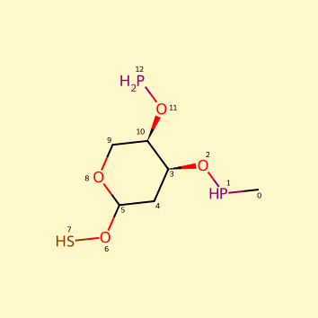 CPO[C@H]1CC(OS)OC[C@H]1OP